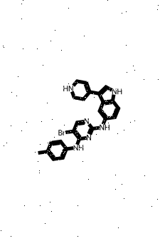 Cc1ccc(Nc2nc(Nc3ccc4[nH]cc(C5=CCNCC5)c4c3)ncc2Br)cc1